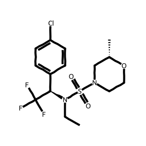 CCN([C@H](c1ccc(Cl)cc1)C(F)(F)F)S(=O)(=O)N1CCO[C@@H](C)C1